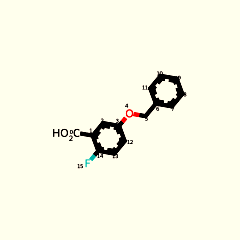 O=C(O)c1cc(OCc2ccccc2)ccc1F